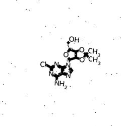 CC1(C)OC2C(O1)[C@@H](CO)O[C@H]2n1cnc2c(N)nc(Cl)nc21